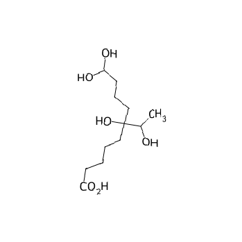 CC(O)C(O)(CCCCC(=O)O)CCCC(O)O